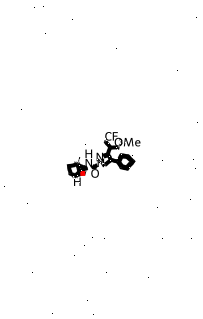 COCC(CC(F)(F)F)C1=NN(C(=O)N[C@H]2C[C@H]3CC[C@]2(C)C3(C)C)CC1c1ccccc1